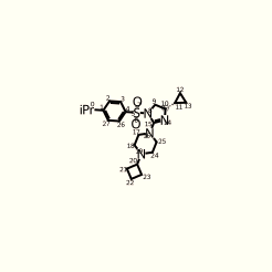 CC(C)c1ccc(S(=O)(=O)N2C[C@H](C3CC3)N=C2N2CCN(C3CCC3)CC2)cc1